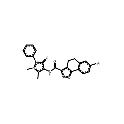 CCCc1ccc2c(c1)CCc1c(C(=O)Nc3c(C)n(C)n(-c4ccccc4)c3=O)noc1-2